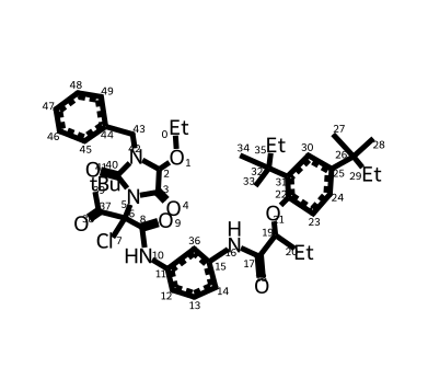 CCOC1C(=O)N(C(Cl)(C(=O)Nc2cccc(NC(=O)C(CC)Oc3ccc(C(C)(C)CC)cc3C(C)(C)CC)c2)C(=O)C(C)(C)C)C(=O)N1Cc1ccccc1